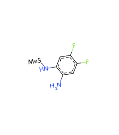 CSNc1cc(F)c(F)cc1N